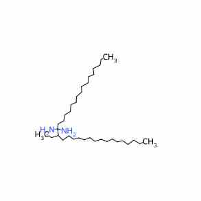 CCCCCCCCCCCCCCCCC(CC)C(N)(N)CCCCCCCCCCCCCCCC